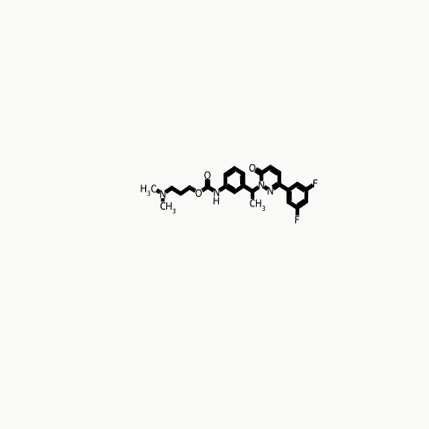 CC(c1cccc(NC(=O)OCCCN(C)C)c1)n1nc(-c2cc(F)cc(F)c2)ccc1=O